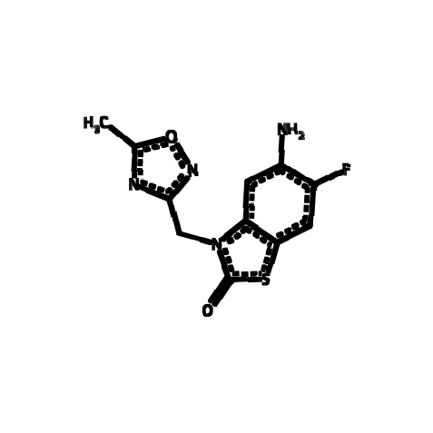 Cc1nc(Cn2c(=O)sc3cc(F)c(N)cc32)no1